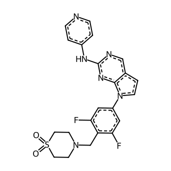 O=S1(=O)CCN(Cc2c(F)cc(-n3ccc4cnc(Nc5ccncc5)nc43)cc2F)CC1